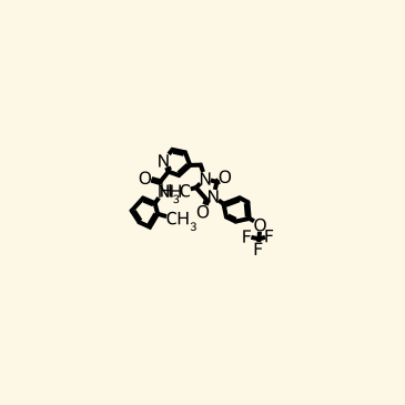 Cc1ccccc1NC(=O)c1cc(CN2C(=O)N(c3ccc(OC(F)(F)F)cc3)C(=O)C2C)ccn1